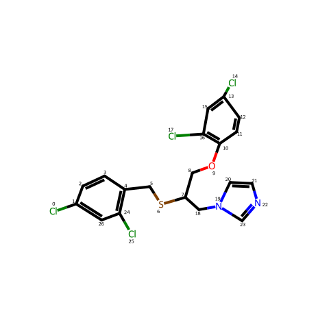 Clc1ccc(CSC(COc2ccc(Cl)cc2Cl)Cn2ccnc2)c(Cl)c1